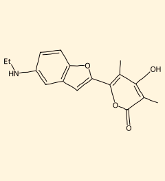 CCNc1ccc2oc(-c3oc(=O)c(C)c(O)c3C)cc2c1